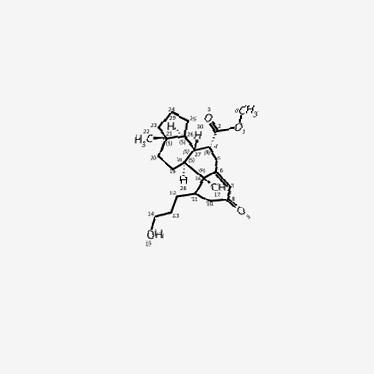 COC(=O)[C@@H]1CC2=CC(=O)CC(CCCO)[C@]2(C)[C@H]2CC[C@]3(C)CCC[C@H]3[C@H]12